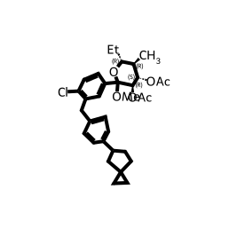 CC[C@H]1OC(OC)(c2ccc(Cl)c(Cc3ccc(C4CCC5(CC5)C4)cc3)c2)[C@H](OC(C)=O)[C@@H](OC(C)=O)[C@@H]1C